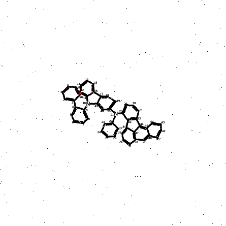 c1ccc(-c2ccccc2-n2c3ccccc3c3ccc(N(c4ccccc4)c4cccc5c4-c4cccc6cc7ccccc7c-5c46)cc32)cc1